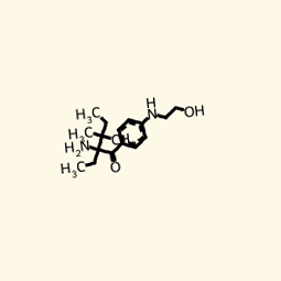 CCC(C)(C)C(N)(CC)C(=O)c1ccc(NCCO)cc1